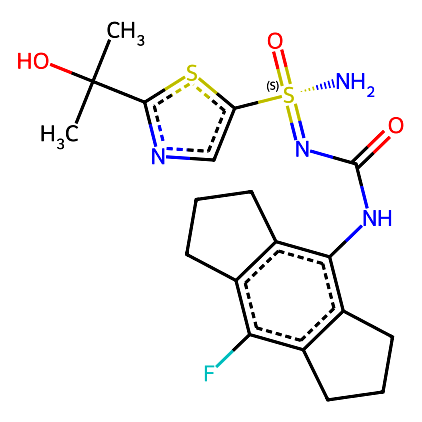 CC(C)(O)c1ncc([S@@](N)(=O)=NC(=O)Nc2c3c(c(F)c4c2CCC4)CCC3)s1